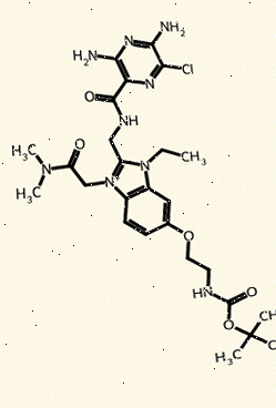 CCn1c(CNC(=O)c2nc(Cl)c(N)nc2N)[n+](CC(=O)N(C)C)c2ccc(OCCNC(=O)OC(C)(C)C)cc21